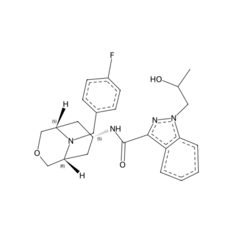 CC(O)Cn1nc(C(=O)N[C@H]2C[C@H]3COC[C@@H](C2)N3Cc2ccc(F)cc2)c2ccccc21